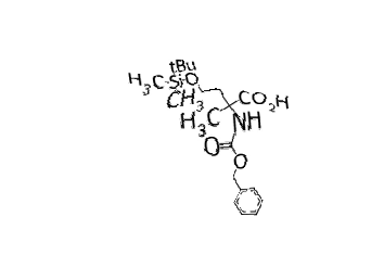 CC(CCO[Si](C)(C)C(C)(C)C)(NC(=O)OCc1ccccc1)C(=O)O